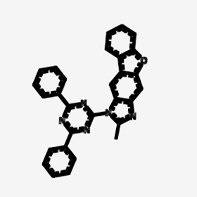 Cc1nc2cc3oc4ccccc4c3cc2n1-c1nc(-c2ccccc2)nc(-c2ccccc2)n1